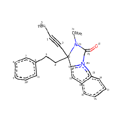 CCCCC#CC1(CCc2ccccc2)c2cc3ccccc3n2C(=O)N1OC